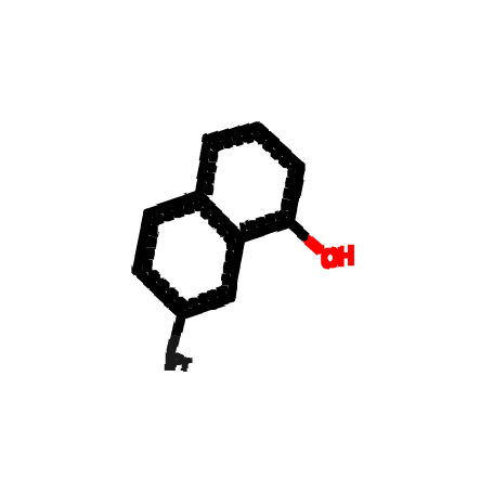 CC(C)c1ccc2cccc(O)c2c1